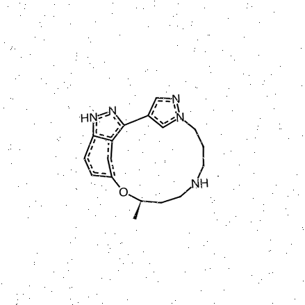 C[C@@H]1CCNCCCn2cc(cn2)-c2n[nH]c3ccc(cc23)O1